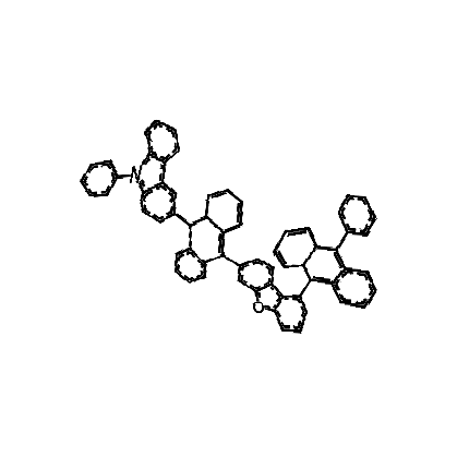 C1=CC2=C(c3ccc4c(c3)oc3cccc(C5=c6ccccc6=C(c6ccccc6)C6C=CC=CC56)c34)c3ccccc3C(c3ccc4c(c3)c3ccccc3n4-c3ccccc3)C2C=C1